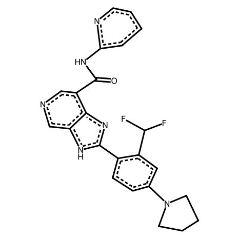 O=C(Nc1ccccn1)c1cncc2[nH]c(-c3ccc(N4CCCC4)cc3C(F)F)nc12